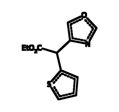 CCOC(=O)C(c1cocn1)c1cccs1